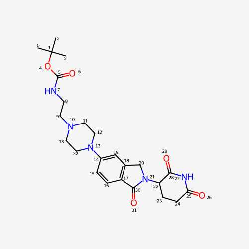 CC(C)(C)OC(=O)NCCN1CCN(c2ccc3c(c2)CN(C2CCC(=O)NC2=O)C3=O)CC1